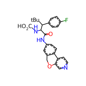 CC(C)(C)C(c1ccc(F)cc1)C(NC(=O)O)C(=O)Nc1ccc2c(c1)COc1cnccc1-2